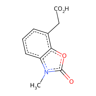 Cn1c(=O)oc2c(CC(=O)O)cccc21